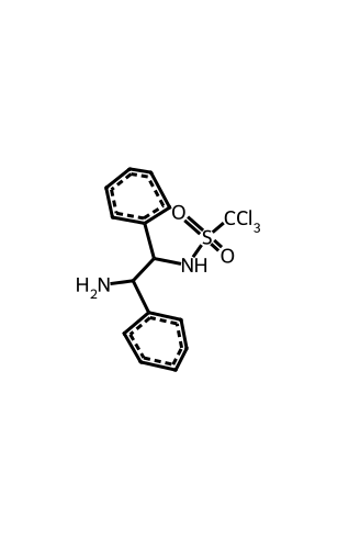 NC(c1ccccc1)C(NS(=O)(=O)C(Cl)(Cl)Cl)c1ccccc1